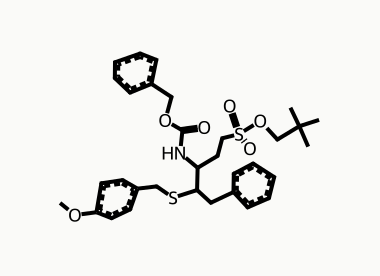 COc1ccc(CSC(Cc2ccccc2)C(CCS(=O)(=O)OCC(C)(C)C)NC(=O)OCc2ccccc2)cc1